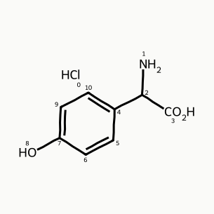 Cl.NC(C(=O)O)c1ccc(O)cc1